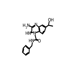 CC(O)c1ccc2c(c1)nc(N)c(=N)n2C(=O)NCc1ccccc1